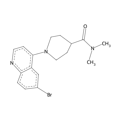 CN(C)C(=O)C1CCN(c2ccnc3ccc(Br)cc23)CC1